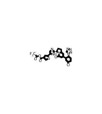 O=C(OC(=O)C(F)(F)F)c1csc(-c2cnc([C@@H]3CCc4cc(-c5cc(Cl)ccc5-n5cnnn5)cc(=O)n43)[nH]2)c1